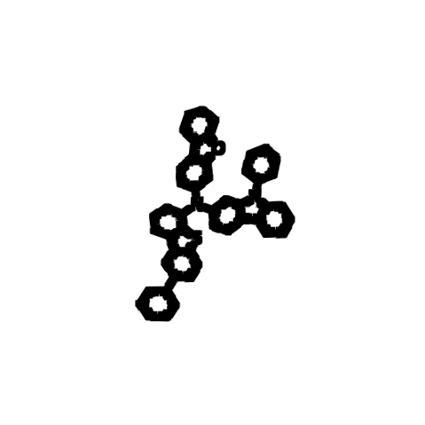 c1ccc(-c2ccc3sc4c(N(c5ccc6c(c5)oc5ccccc56)c5ccc6c7ccccc7n(-c7ccccc7)c6c5)cccc4c3c2)cc1